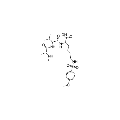 CNC(C)C(=O)NC(C(=O)NC(CCCCNS(=O)(=O)c1ccc(OC)cc1)C(=O)O)C(C)C